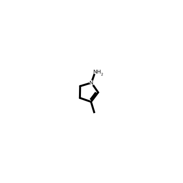 CC1=CN(N)CC1